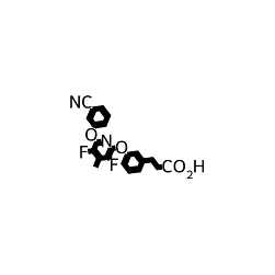 Cc1c(F)c(Oc2cccc(C#N)c2)nc(Oc2cccc(CCC(=O)O)c2)c1F